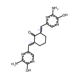 Nc1nc(/C=C2\CCC/C(=C\c3cnc(O)c(N)n3)C2=O)cnc1O